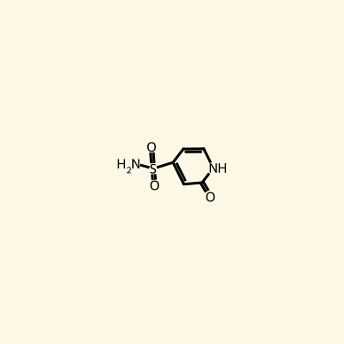 NS(=O)(=O)c1cc[nH]c(=O)c1